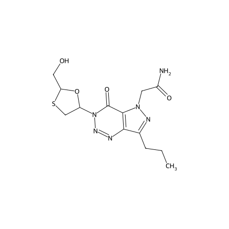 CCCc1nn(CC(N)=O)c2c(=O)n(C3CSC(CO)O3)nnc12